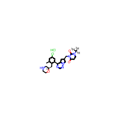 Cl.[2H]C([2H])([2H])n1ccc(=O)n(Cc2cc3c(-c4cc(Cl)cc(C)c4C[C@@H]4CNCCO4)ncnn3c2)c1=O